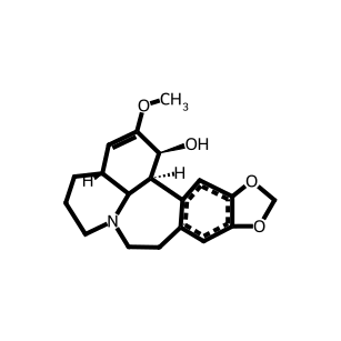 COC1=C[C@H]2CCCN3CCc4cc5c(cc4[C@@H](C23)[C@@H]1O)OCO5